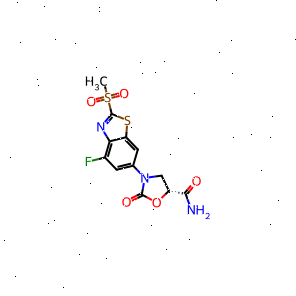 CS(=O)(=O)c1nc2c(F)cc(N3C[C@H](C(N)=O)OC3=O)cc2s1